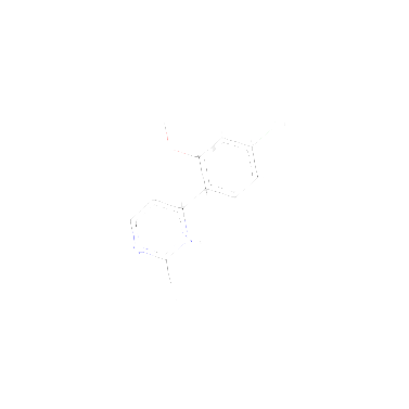 COc1cc(Cl)ccc1-c1ccnc(C)n1